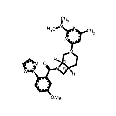 COc1ccc(-n2nccn2)c(C(=O)N2C[C@H]3CCN(c4cc(C)nc(N(C)C)n4)C[C@H]32)c1